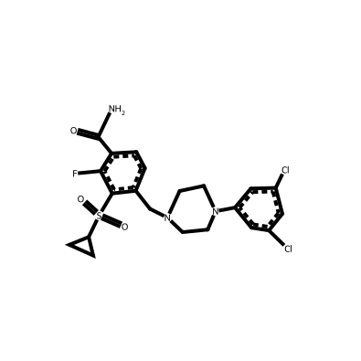 NC(=O)c1ccc(CN2CCN(c3cc(Cl)cc(Cl)c3)CC2)c(S(=O)(=O)C2CC2)c1F